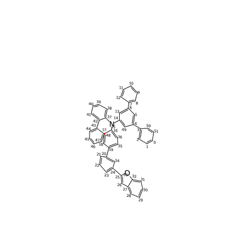 c1ccc(-c2cc(-c3ccccc3)cc(N(c3ccc(-c4cccc(-c5cc6ccccc6o5)c4)cc3)c3ccccc3-c3ccccc3)c2)cc1